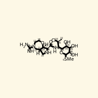 CSC1O[C@H]([C@H](NC(=O)[C@H]2NC[C@@H]3CN(C(=N)N)CCO[C@H]32)[C@H](C)Cl)[C@@H](O)C(O)[C@H]1O